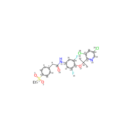 CCS(=O)(=O)c1ccc(CC(=O)Nc2cc(F)c(OC(C)(C)c3ncc(Cl)cc3Cl)c(F)c2)cc1